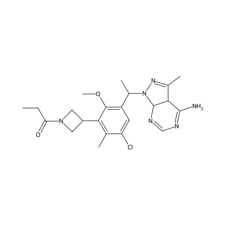 CCC(=O)N1CC(c2c(C)c(Cl)cc(C(C)N3N=C(C)C4C(N)=NC=NC43)c2OC)C1